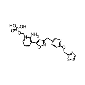 Nc1c(-c2cc(Cc3ccc(OCc4nccs4)nc3)no2)ccc[n+]1COP(=O)(O)O